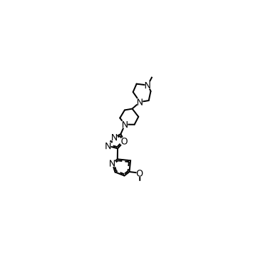 COc1ccnc(-c2nnc(N3CCC(N4CCN(C)CC4)CC3)o2)c1